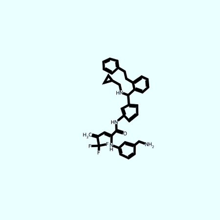 C=C(/C=C(\Nc1cccc(CN)c1)C(=O)Nc1cccc(C(NCC2CC2)c2ccccc2CCc2ccccc2)c1)C(F)(F)F